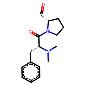 CN(C)[C@H](Cc1ccccc1)C(=O)[N+]1CCC[C@H]1C=O